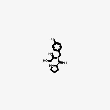 N=C(CO)N(Cc1ccc(Cl)cc1)C(=N)[C@H]1CCCN1